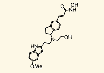 COc1ccc2[nH]c(CCN(CCO)C3CCc4cc(C=CC(=O)NO)ccc43)cc2c1